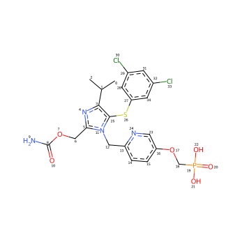 CC(C)c1nc(COC(N)=O)n(Cc2ccc(OCP(=O)(O)O)cn2)c1Sc1cc(Cl)cc(Cl)c1